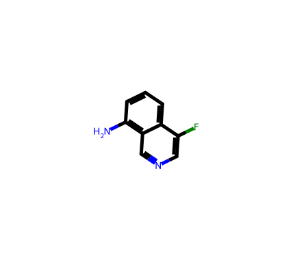 Nc1cccc2c(F)cncc12